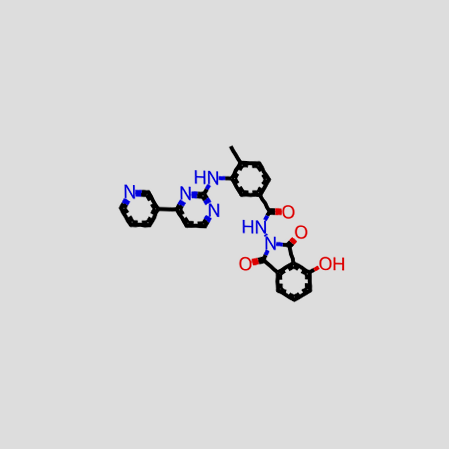 Cc1ccc(C(=O)NN2C(=O)c3cccc(O)c3C2=O)cc1Nc1nccc(-c2cccnc2)n1